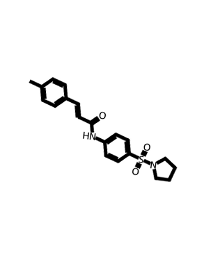 Cc1ccc(/C=C/C(=O)Nc2ccc(S(=O)(=O)N3CCCC3)cc2)cc1